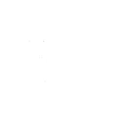 C=C(C)C1=CCC=C(OC)C(C(=C/C(C)Br)/C(CN(C)C(C)C)=N\CNC)=C1